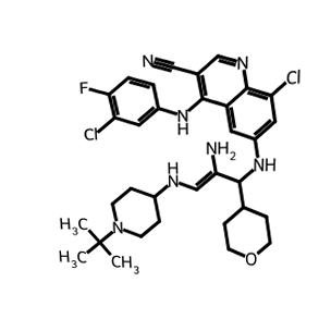 CC(C)(C)N1CCC(N/C=C(\N)C(Nc2cc(Cl)c3ncc(C#N)c(Nc4ccc(F)c(Cl)c4)c3c2)C2CCOCC2)CC1